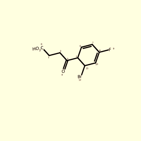 O=C(O)CCC(=O)C1C=CC(F)=CC1Br